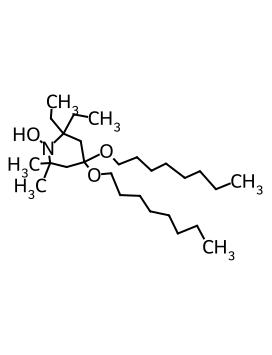 CCCCCCCCOC1(OCCCCCCCC)CC(C)(C)N(O)C(CC)(CC)C1